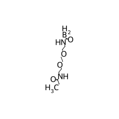 BC(=O)NCCOCCOCCNC(=O)CC